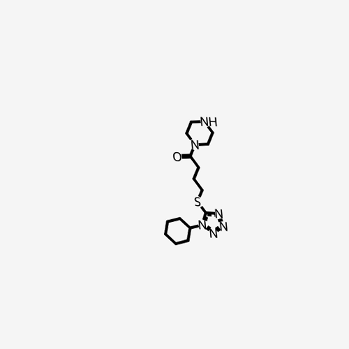 O=C(CCCSc1nnnn1C1CCCCC1)N1CCNCC1